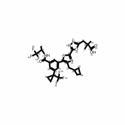 CC(NC(=O)c1cc(-c2sc(-c3nnc(CC(C)(C)C(=O)O)o3)nc2CC2CCC2)cc(C2(C(F)(F)F)CC2)c1)C(F)(F)F